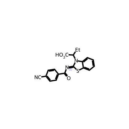 CCC(C(=O)O)n1/c(=N/C(=O)c2ccc(C#N)cc2)sc2ccccc21